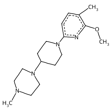 COc1nc(N2CCC(N3CCN(C)CC3)CC2)ccc1C